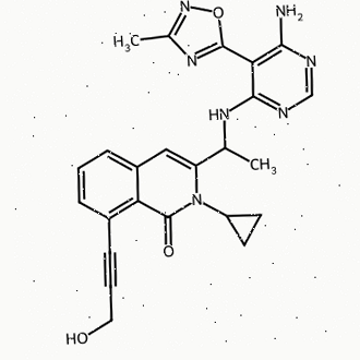 Cc1noc(-c2c(N)ncnc2NC(C)c2cc3cccc(C#CCO)c3c(=O)n2C2CC2)n1